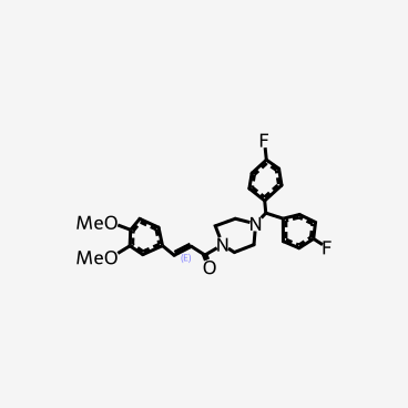 COc1ccc(/C=C/C(=O)N2CCN(C(c3ccc(F)cc3)c3ccc(F)cc3)CC2)cc1OC